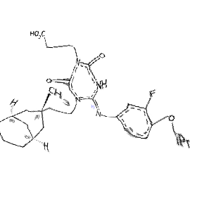 CC(C)Oc1ccc(/N=c2\[nH]c(=O)n(CCC(=O)O)c(=O)n2C[C@@]2(C)C[C@@H]3CCC[C@@H](C3)C2)cc1F